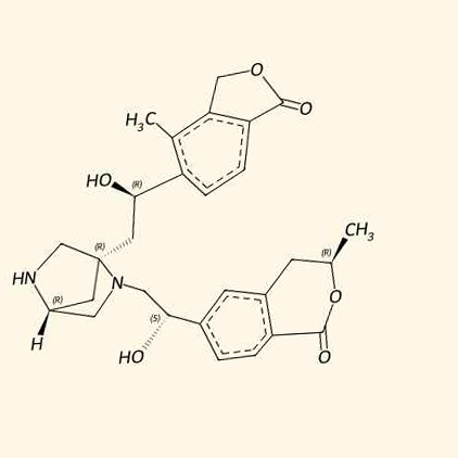 Cc1c([C@H](O)C[C@]23CN[C@@H](CN2C[C@@H](O)c2ccc4c(c2)C[C@@H](C)OC4=O)C3)ccc2c1COC2=O